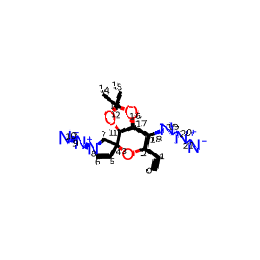 C=CC1OC(C=C)(CN=[N+]=[N-])C2OC(C)(C)OC2C1N=[N+]=[N-]